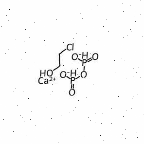 O=[PH]([O-])O[PH](=O)[O-].OCCCl.[Ca+2]